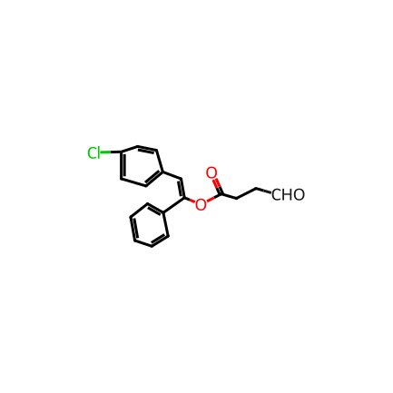 O=CCCC(=O)O/C(=C/c1ccc(Cl)cc1)c1ccccc1